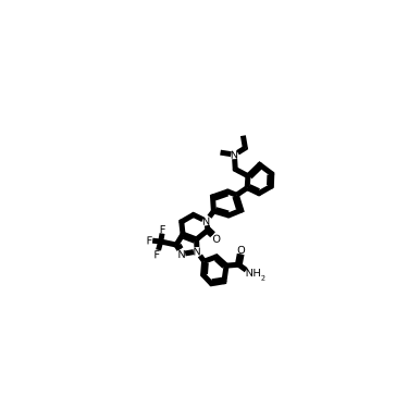 CCN(C)Cc1ccccc1-c1ccc(N2CCc3c(C(F)(F)F)nn(-c4cccc(C(N)=O)c4)c3C2=O)cc1